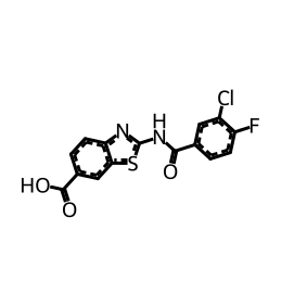 O=C(O)c1ccc2nc(NC(=O)c3ccc(F)c(Cl)c3)sc2c1